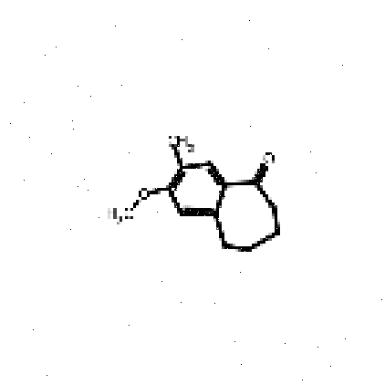 COc1cc2c(cc1C)C(=O)CCCC2